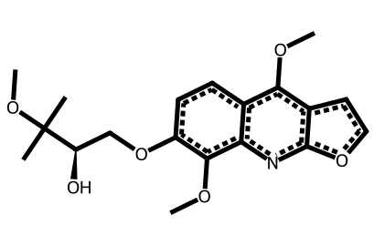 COc1c2ccoc2nc2c(OC)c(OC[C@@H](O)C(C)(C)OC)ccc12